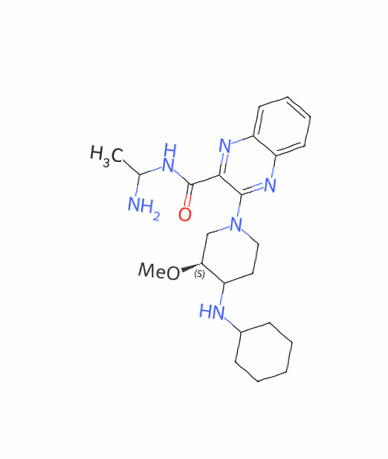 CO[C@H]1CN(c2nc3ccccc3nc2C(=O)NC(C)N)CCC1NC1CCCCC1